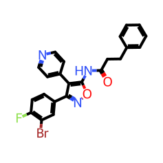 O=C(CCc1ccccc1)Nc1onc(-c2ccc(F)c(Br)c2)c1-c1ccncc1